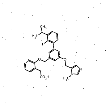 C[C@H](N)c1cccc(-c2cc(COc3ccccc3CC(=O)O)cc(OCc3cncn3C)c2)c1F